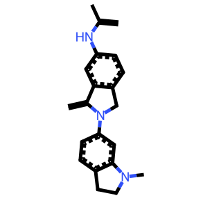 C=C(C)Nc1ccc2c(c1)C(=C)N(c1ccc3c(c1)N(C)CC3)C2